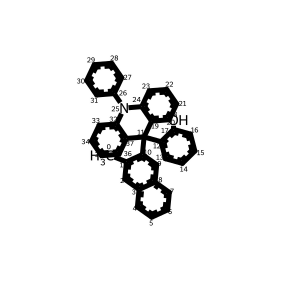 Cc1cc2ccccc2cc1C1(c2ccccc2O)c2ccccc2N(c2ccccc2)c2ccccc21